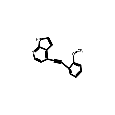 FC(F)(F)Oc1ccccc1C#Cc1ccnc2[nH]ccc12